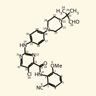 COc1cccc(C#N)c1NC(=O)c1nc(Nc2ccc(N3CCN(C(C)(C)C=O)CC3)cc2)ncc1Cl